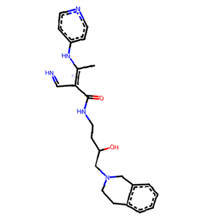 C/C(Nc1ccncc1)=C(/C=N)C(=O)NCCC(O)CN1CCc2ccccc2C1